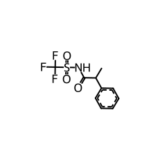 CC(C(=O)NS(=O)(=O)C(F)(F)F)c1ccccc1